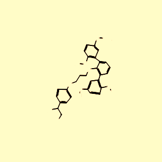 CCC(C)c1ccc(OCCCOc2c(-c3cc(OC)ccc3OC)cccc2-c2cc(OC)ccc2OC)cc1